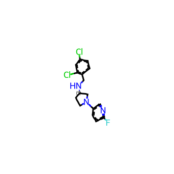 Fc1ccc(N2CC[C@H](NCc3ccc(Cl)cc3Cl)C2)cn1